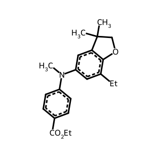 CCOC(=O)c1ccc(N(C)c2cc(CC)c3c(c2)C(C)(C)CO3)cc1